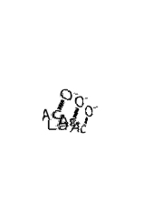 CC(=O)[O-].CC(=O)[O-].CC(=O)[O-].[La+3]